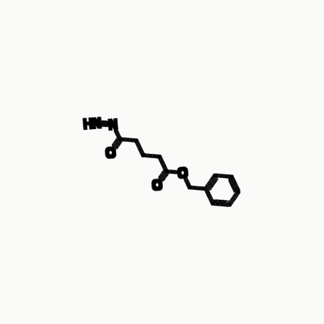 N=NC(=O)CCCC(=O)OCc1ccccc1